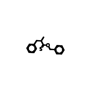 CC(Cc1ccccc1)C(=S)OCc1ccccc1